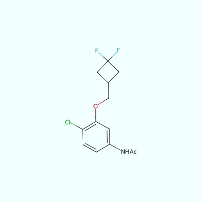 CC(=O)Nc1ccc(Cl)c(OCC2CC(F)(F)C2)c1